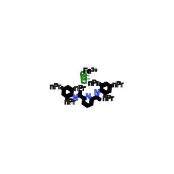 CCCc1cc(CCC)c(N=C(C)c2cccc(C(C)=Nc3c(CCC)cc(CCC)cc3CCC)n2)c(CCC)c1.[Cl-].[Cl-].[Cl-].[Fe+3]